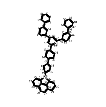 c1ccc(-c2cccc(-c3cc(-c4ccc(-c5ccc(-n6c7cccc8ccc9cccc6c9c87)cc5)cc4)nc(-c4cccc(-c5ccccc5)c4)c3)c2)cc1